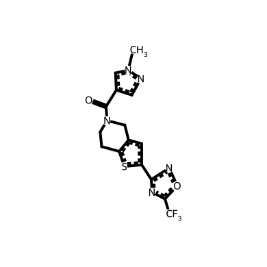 Cn1cc(C(=O)N2CCc3sc(-c4noc(C(F)(F)F)n4)cc3C2)cn1